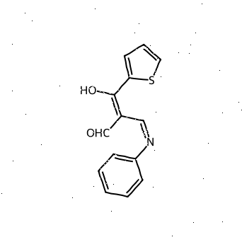 O=CC(/C=N\c1ccccc1)=C(\O)c1cccs1